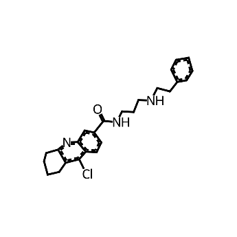 O=C(NCCCNCCc1ccccc1)c1ccc2c(Cl)c3c(nc2c1)CCCC3